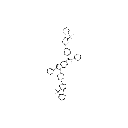 CC1(C)c2ccccc2-c2ccc(-c3ccc(N4c5cc6cc(-c7ccccc7)n(-c7ccc(-c8ccc9c(c8)C(C)(C)c8ccccc8-9)cc7)c6cc5CC4c4ccccc4)cc3)cc21